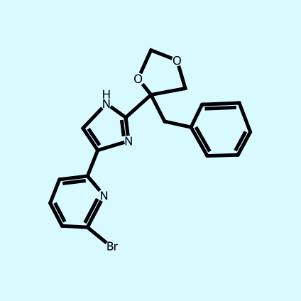 Brc1cccc(-c2c[nH]c(C3(Cc4ccccc4)COCO3)n2)n1